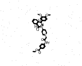 CCOC(=O)c1ccc(NC(=O)CN2CCC(N3N=C(c4ccc(OC)c(OC)c4)[C@H]4CC=CC[C@H]4C3=O)CC2)cc1